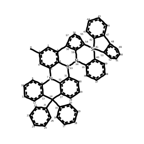 Cc1cc2c3c(c1)N1c4ccccc4C(c4ccccc4)(c4ccccc4)c4cccc(c41)B3N1c3ccccc3[Si]3(c4ccccc4-c4ccccc43)c3cccc-2c31